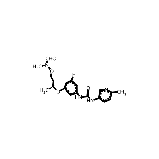 Cc1ccc(NC(=O)Nc2cc(F)cc(O[C@@H](C)CCON(C)C=O)c2)cn1